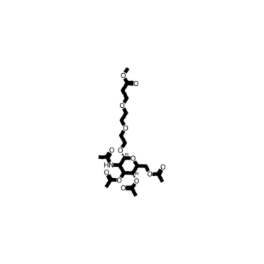 COC(=O)CCOCCOCCO[C@@H]1OC(COC(C)=O)[C@H](OC(C)=O)C(OC(C)=O)C1NC(C)=O